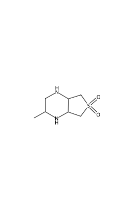 CC1CNC2CS(=O)(=O)CC2N1